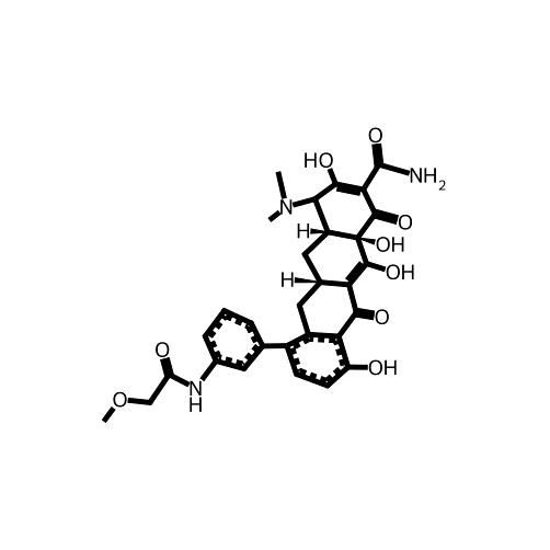 COCC(=O)Nc1cccc(-c2ccc(O)c3c2C[C@@H]2C[C@@H]4C(N(C)C)C(O)=C(C(N)=O)C(=O)[C@]4(O)C(O)=C2C3=O)c1